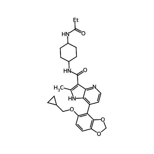 CCC(=O)NC1CCC(NC(=O)c2c(C)[nH]c3c(-c4c(OCC5CC5)ccc5c4OCO5)ccnc23)CC1